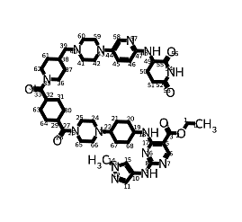 CCOC(=O)c1cnc(Nc2cnn(C)c2)nc1NC1CCC(N2CCN(C(=O)C3CCC(C(=O)N4CCC(CN5CCN(c6ccc(NC7CCC(=O)NC7=O)nc6)CC5)CC4)CC3)CC2)CC1